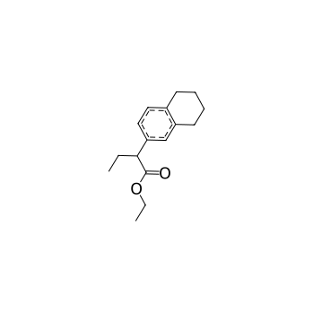 CCOC(=O)C(CC)c1ccc2c(c1)CCCC2